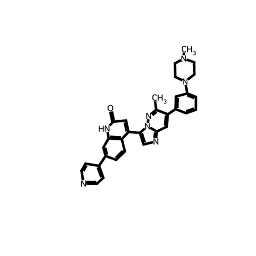 Cc1nn2c(-c3cc(=O)[nH]c4cc(-c5ccncc5)ccc34)cnc2cc1-c1cccc(N2CCN(C)CC2)c1